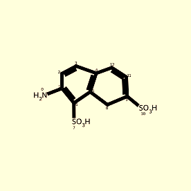 Nc1ccc2c(c1S(=O)(=O)O)CC(S(=O)(=O)O)=C=C2